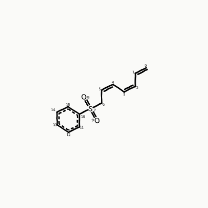 C=C/C=C\C=C/CS(=O)(=O)c1ccccc1